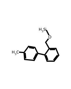 Cc1ccc(-c2ccccc2CO[SiH3])cc1